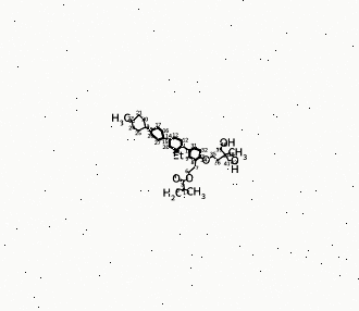 C=C(C)C(=O)OCCc1cc(-c2ccc(-c3ccc(C4CCC(C)CC4)cc3)cc2CC)ccc1OCCC(C)(CO)CO